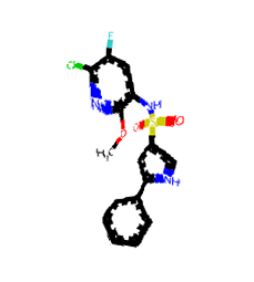 COc1nc(Cl)c(F)cc1NS(=O)(=O)c1c[nH]c(-c2ccccc2)c1